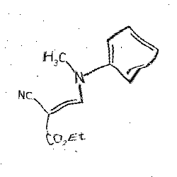 CCOC(=O)C(C#N)=CN(C)c1ccccc1